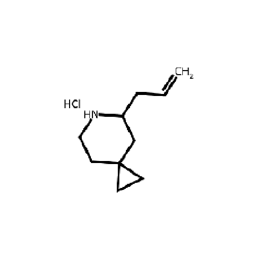 C=CCC1CC2(CCN1)CC2.Cl